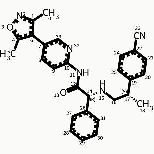 Cc1noc(C)c1-c1ccc(NC(=O)[C@H](NC[C@@H](C)c2ccc(C#N)cc2)c2ccccc2)nc1